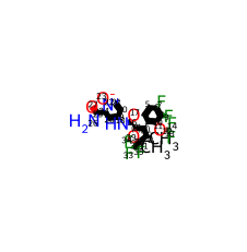 C[C@H]1[C@@H](c2ccc(F)c(F)c2OC(F)F)[C@H](C(=O)Nc2cc[n+]([O-])c(C(N)=O)c2)O[C@@]1(C)C(F)(F)F